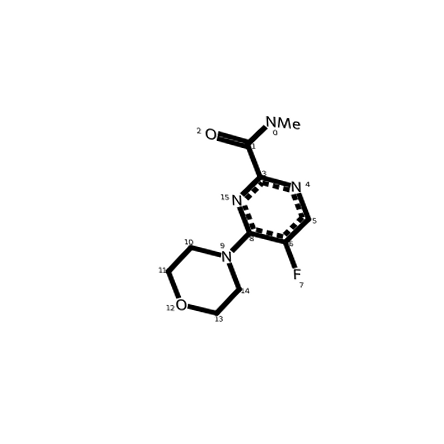 CNC(=O)c1ncc(F)c(N2CCOCC2)n1